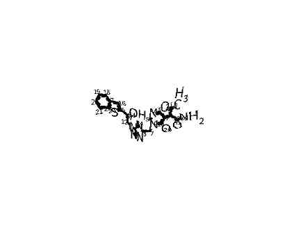 Cc1oc2ncn(Cc3nnn(C[C@H](O)c4cc5ccccc5s4)n3)c(=O)c2c1C(N)=O